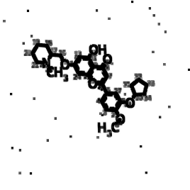 COc1ccc(-c2cc(=O)c3c(O)cc(OCC4CCCCN4C)cc3o2)cc1OC1CCCC1